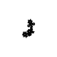 O=C1c2ccccc2C(=O)N1CCOc1ccc2c(-c3ccccc3F)noc2c1Br